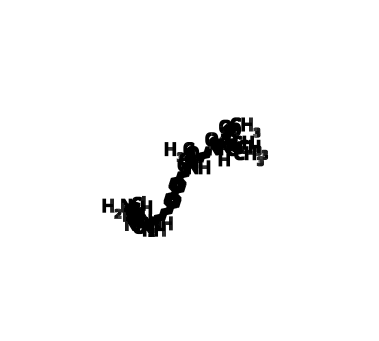 COC(=O)CC[C@H](NC(=O)OC(C)(C)C)C(=O)NCCCC[C@H](NC(=O)CCc1ccc(-c2ccc(CCCCNC(=N)NC(=O)c3nc(Cl)c(N)nc3N)cc2)cc1)C(=O)OC